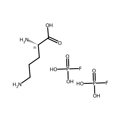 NCCC[C@H](N)C(=O)O.O=P(O)(O)F.O=P(O)(O)F